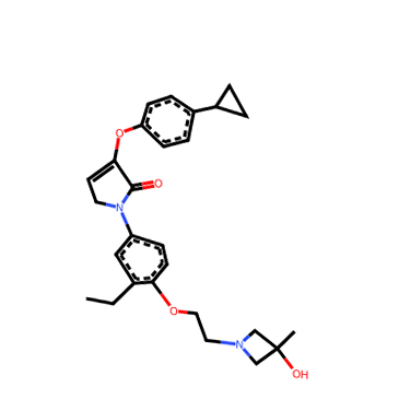 CCc1cc(N2CC=C(Oc3ccc(C4CC4)cc3)C2=O)ccc1OCCN1CC(C)(O)C1